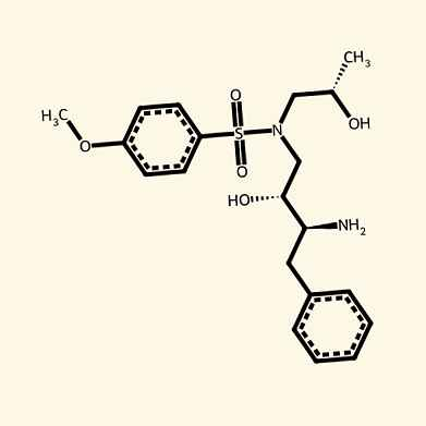 COc1ccc(S(=O)(=O)N(C[C@H](C)O)C[C@@H](O)[C@@H](N)Cc2ccccc2)cc1